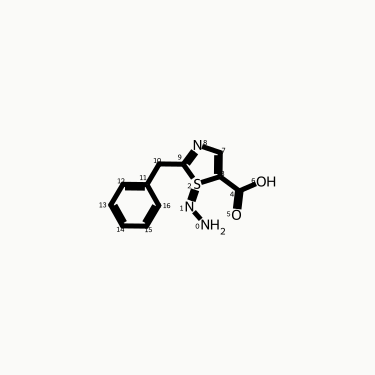 NN=S1C(C(=O)O)=CN=C1Cc1ccccc1